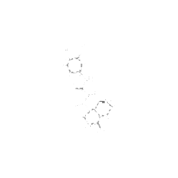 CC(c1c[nH]c(=O)c2ccncc12)N(C)C(=O)Nc1ccc(F)c(Cl)c1